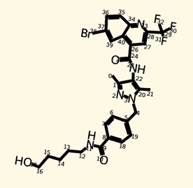 Cc1nn(Cc2ccc(C(=O)NCCCCCO)cc2)c(C)c1NC(=O)c1cc(C(F)(F)F)nc2ccc(Br)cc12